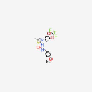 CCOc1ccc(CN(C)C(=O)N=c2sc(C)cn2-c2ccc3c(c2)OC(F)(F)C(F)(F)O3)cc1